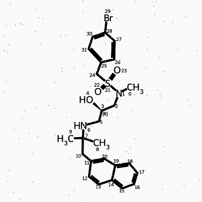 CN(C[C@H](O)CNC(C)(C)Cc1ccc2ccccc2c1)S(=O)(=O)Cc1ccc(Br)cc1